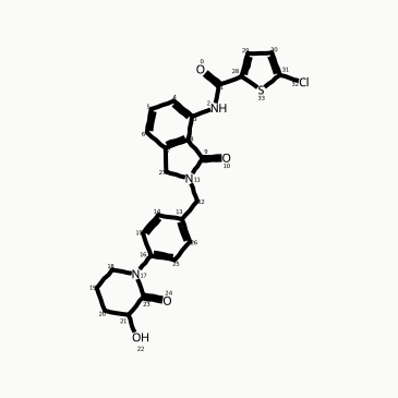 O=C(Nc1cccc2c1C(=O)N(Cc1ccc(N3CCCC(O)C3=O)cc1)C2)c1ccc(Cl)s1